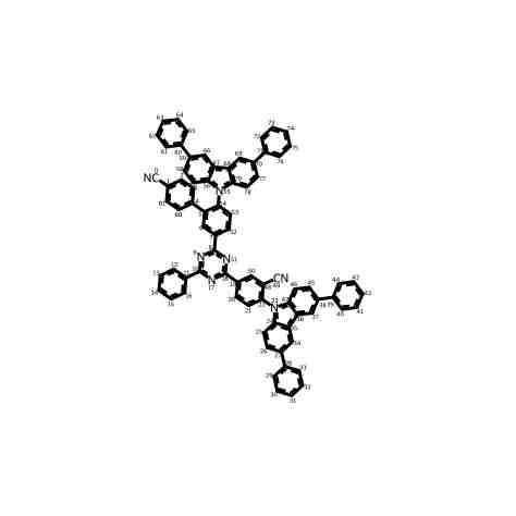 N#Cc1ccc(-c2cc(-c3nc(-c4ccccc4)nc(-c4ccc(-n5c6ccc(-c7ccccc7)cc6c6cc(-c7ccccc7)ccc65)c(C#N)c4)n3)ccc2-n2c3ccc(-c4ccccc4)cc3c3cc(-c4ccccc4)ccc32)cc1